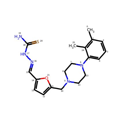 Cc1cccc(N2CCN(Cc3ccc(C=NNC(N)=S)o3)CC2)c1C